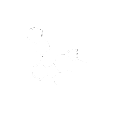 Cc1c(C)n(Cc2ccc(Cl)s2)c2c(N3CCc4ccccc4C3)nccc12